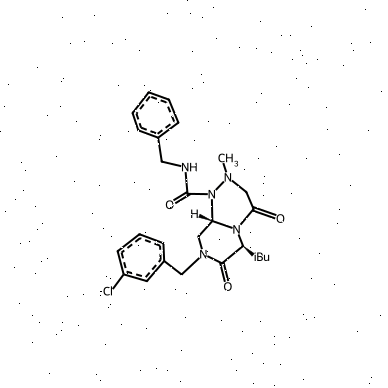 CCC(C)[C@H]1C(=O)N(Cc2cccc(Cl)c2)C[C@H]2N1C(=O)CN(C)N2C(=O)NCc1ccccc1